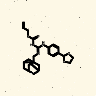 C=CCOC(=O)N/C(=N\CC12CC3CC(CC(C3)C1)C2)Nc1ccc(C2OCCO2)cc1